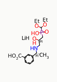 CCOC(OCC)P(=O)(O)C[C@H](O)CN[C@H](C)c1cccc(C(=O)O)c1.[LiH]